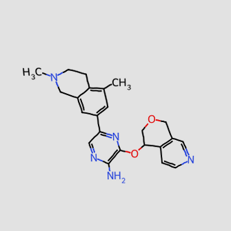 Cc1cc(-c2cnc(N)c(OC3COCc4cnccc43)n2)cc2c1CCN(C)C2